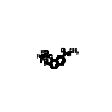 COC(=O)c1ccc2ccc(F)c(OS(=O)(=O)C(F)(F)F)c2c1